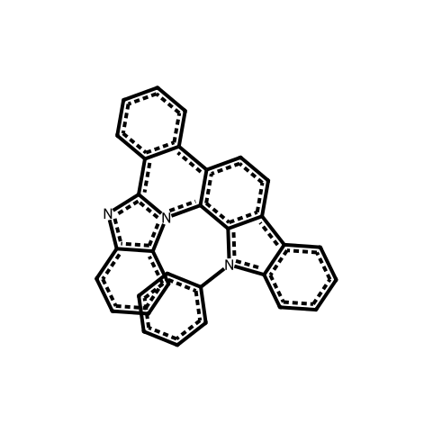 c1ccc(-n2c3ccccc3c3ccc4c5ccccc5c5nc6ccccc6n5c4c32)cc1